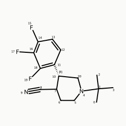 CC(C)(C)N1CCC(C#N)[C@H](c2ccc(F)c(F)c2F)C1